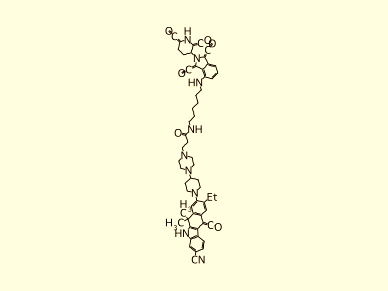 CCc1cc2c(cc1N1CCC(N3CCN(CCC(=O)NCCCCCCNc4cccc5c(=C=O)n(C6CCC(=C=O)NC6=C=O)c(=C=O)c45)CC3)CC1)C(C)(C)c1[nH]c3cc(C#N)ccc3c1C2=C=O